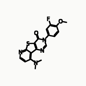 COc1ccc(-n2cnc3c(sc4nccc(N(C)C)c43)c2=O)cc1F